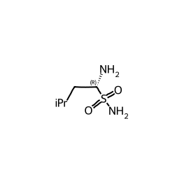 CC(C)C[C@H](N)S(N)(=O)=O